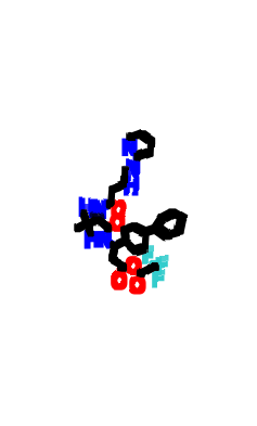 CC(C)(C)[C@@H](NC(=O)CCCNc1ccccn1)C(=O)NC(CC(=O)OC(=O)C(F)(F)F)c1ccc(-c2ccccc2)cc1